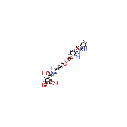 O=C(Nc1ccccc1)Nc1cccc(COCCOCCCCCCNC[C@@H](O)c2ccc(O)c(CO)c2)c1